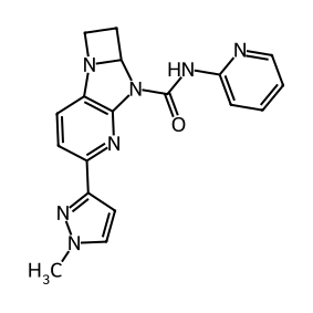 Cn1ccc(-c2ccc3c(n2)N(C(=O)Nc2ccccn2)C2CCN32)n1